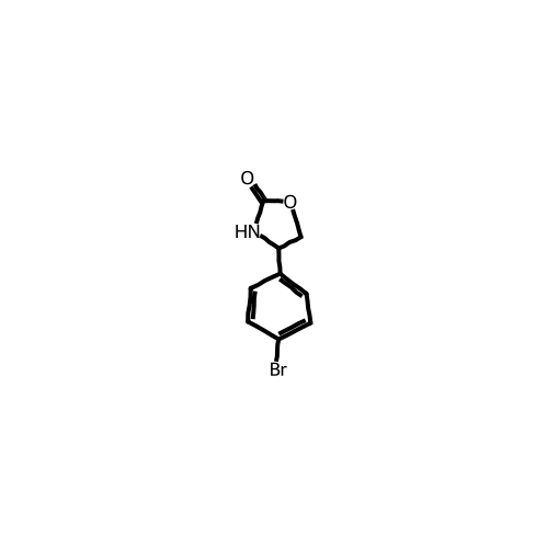 O=C1NC(c2ccc(Br)cc2)CO1